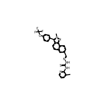 Cc1cccnc1NC(=S)NN=Cc1ccc2c(ccc3c(-c4ccc(OC(F)(F)F)cc4)n(C)nc32)c1